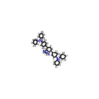 C1=C=C(c2ccc(N(c3ccccc3)c3ccccc3)cc2)c2nsnc2C=1c1ccc(N(c2ccccc2)c2ccccc2)cc1